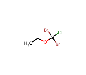 CCO[Si](Cl)(Br)Br